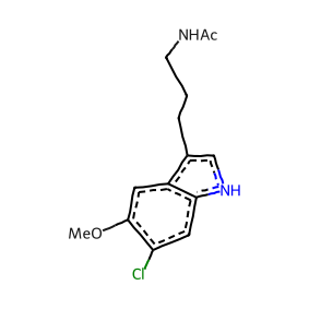 COc1cc2c(CCCNC(C)=O)c[nH]c2cc1Cl